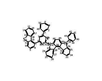 c1ccc(-c2cc(-c3cccc4sc5ccccc5c34)nc(-n3c4ccccc4c4c5c6ccccc6n(-c6ccccc6)c5ccc43)n2)cc1